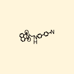 N#Cc1ccc(-c2ccc(NCCCN3C(=O)c4cccc5cccc(c45)C3=O)cc2)cc1